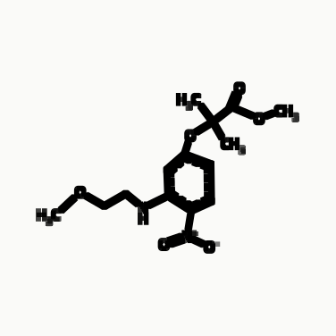 COCCNc1cc(OC(C)(C)C(=O)OC)ccc1[N+](=O)[O-]